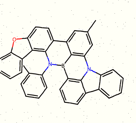 Cc1cc2c3c(c1)-n1c4ccccc4c4cccc(c41)B3N(c1ccccc1C)c1c-2ccc2oc3ccccc3c12